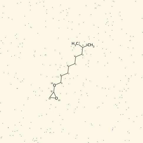 CC(C)CCCCCCCOC1CO1